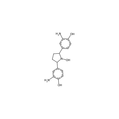 Nc1cc(C2CCC(c3ccc(O)c(N)c3)N2O)ccc1O